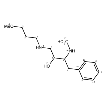 COCCCNCC(O)C(Cc1ccccc1)NC(=O)O